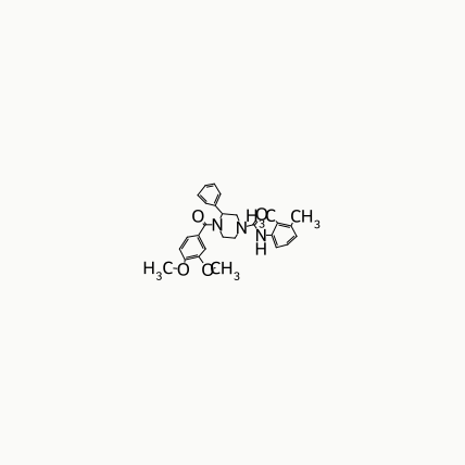 COc1ccc(C(=O)N2CCN(C(=O)Nc3cccc(C)c3C)CC2c2ccccc2)cc1OC